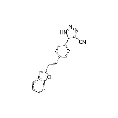 N#Cc1nn[nH]c1-c1ccc(C=Cc2cc3ccccc3o2)cc1